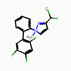 C[N+]1(c2ccccc2-c2cc(F)c(F)cc2F)C=[C]C(C(F)Cl)=N1